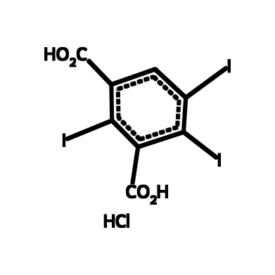 Cl.O=C(O)c1cc(I)c(I)c(C(=O)O)c1I